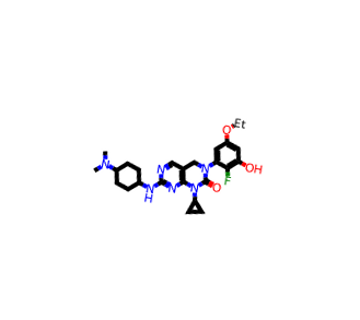 CCOc1cc(O)c(F)c(N2Cc3cnc(NC4CCC(N(C)C)CC4)nc3N(C3CC3)C2=O)c1